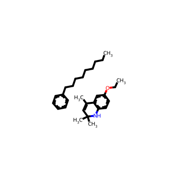 CCCCCCCCCc1ccccc1.CCOc1ccc2c(c1)C(C)=CC(C)(C)N2